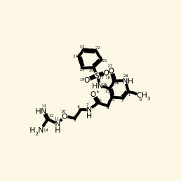 Cc1cc(CC(=O)NCCONC(=N)N)c(NS(=O)(=O)c2ccccc2)c(=O)[nH]1